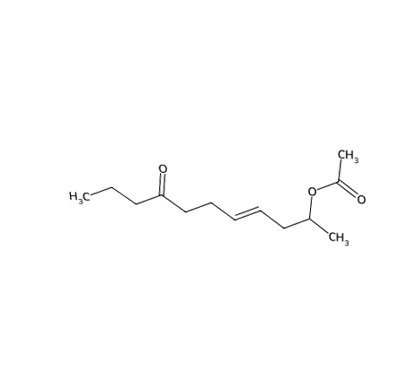 CCCC(=O)CCC=CCC(C)OC(C)=O